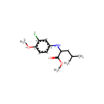 COC(=O)C(CC(C)C)Nc1ccc(OC)c(F)c1